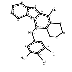 Cc1cc(Nc2c3c(c(C#N)c4nc5ccccc5n24)CCCC3)cc(Cl)c1Cl